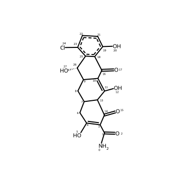 NC(=O)C1=C(O)CC2CC3C(=C(O)C2C1=O)C(=O)c1c(O)ccc(Cl)c1[C@H]3O